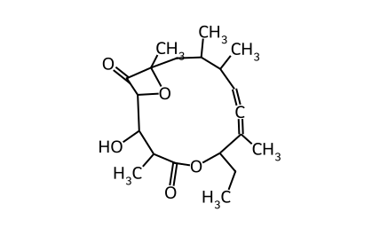 CCC1OC(=O)C(C)C(O)C2OC(C)(CC(C)C(C)C=C=C1C)C2=O